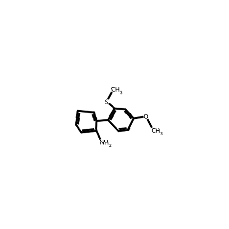 COc1ccc(-c2ccccc2N)c(SC)c1